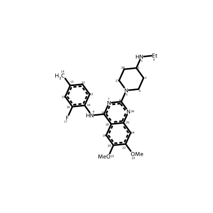 CCNC1CCN(c2nc(Nc3ccc(C)cc3F)c3cc(OC)c(OC)cc3n2)CC1